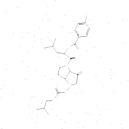 CC(C)CNC(=O)ON1CC(=O)C2C1CCN2C(=O)C(CC(C)C)NC(=O)c1ccc(N)cc1